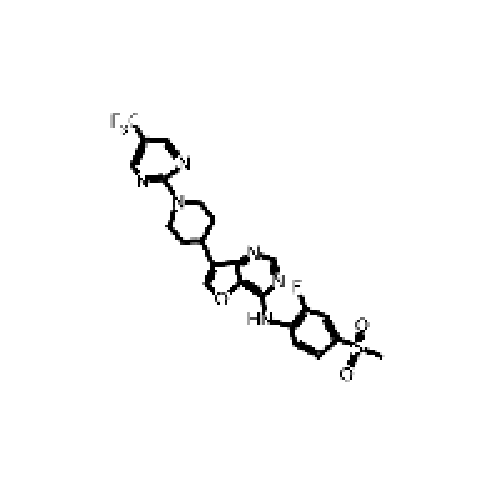 CS(=O)(=O)c1ccc(Nc2ncnc3c(C4CCN(c5ncc(C(F)(F)F)cn5)CC4)coc23)c(F)c1